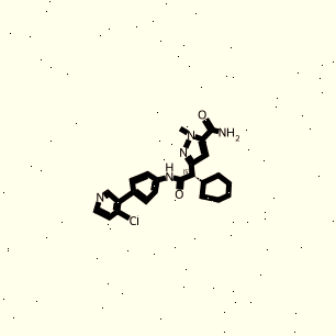 Cn1nc([C@@H](C(=O)Nc2ccc(-c3cnccc3Cl)cc2)C2CCCCC2)cc1C(N)=O